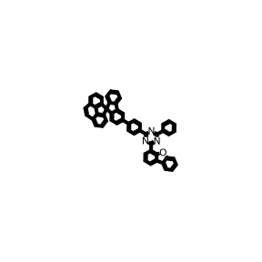 c1ccc(-c2nc(-c3ccc(-c4ccc5c(c4)-c4ccccc4C54c5cccc6ccc7cccc4c7c56)cc3)nc(-c3cccc4c3oc3ccccc34)n2)cc1